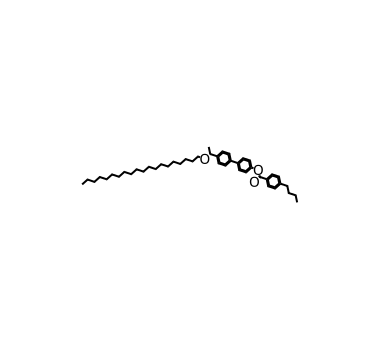 CCCCCCCCCCCCCCCCCCCCOC(C)c1ccc(-c2ccc(OC(=O)c3ccc(CCCC)cc3)cc2)cc1